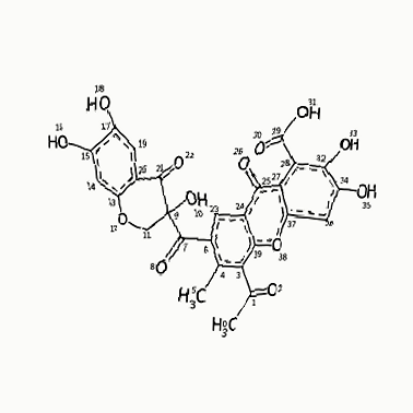 CC(=O)c1c(C)c(C(=O)C2(O)COc3cc(O)c(O)cc3C2=O)cc2c(=O)c3c(C(=O)O)c(O)c(O)cc3oc12